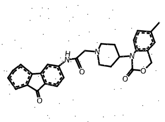 Cc1ccc2c(c1)COC(=O)N2C1CCN(CC(=O)Nc2ccc3c(c2)-c2ccccc2C3=O)CC1